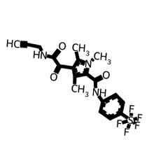 C#CCNC(=O)C(=O)c1c(C)c(C(=O)Nc2ccc(S(F)(F)(F)(F)F)cc2)n(C)c1C